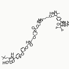 Cc1n[nH]c(COCCCCn2cc(COCC(=O)N3CCC(OCCNC(=O)COc4cccc(Oc5ccc(C(=O)N[C@@H](CCC(C)(C)C)C(=O)O)cn5)c4)CC3)nn2)c1-c1ccc(NC(=O)[C@@H](NC(=O)c2ccnn2C)C(C2CC2)C2CC2)cc1